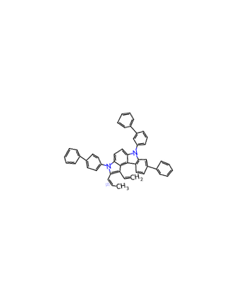 C=Cc1c(/C=C\C)n(-c2ccc(-c3ccccc3)cc2)c2ccc3c(c4ccc(-c5ccccc5)cc4n3-c3cccc(-c4ccccc4)c3)c12